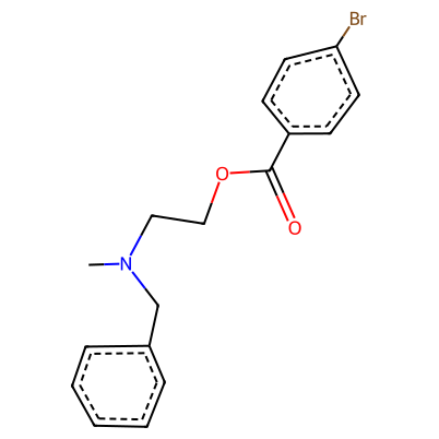 CN(CCOC(=O)c1ccc(Br)cc1)Cc1ccccc1